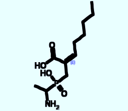 CCCCC/C=C(/CP(=O)(O)C(C)N)C(=O)O